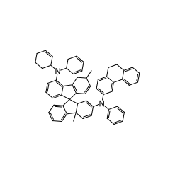 CC1C=CC2=C(C1)c1c(N(C3C=CC=CC3)C3C=CCCC3)cccc1C21c2ccccc2C2(C)C=CC(N(c3ccccc3)c3ccc4c(c3)-c3ccccc3CC4)=CC21